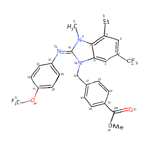 CCc1cc(C(F)(F)F)cc2c1n(C)/c(=N/c1ccc(OC(F)(F)F)cc1)n2Cc1ccc(C(=O)OC)cc1